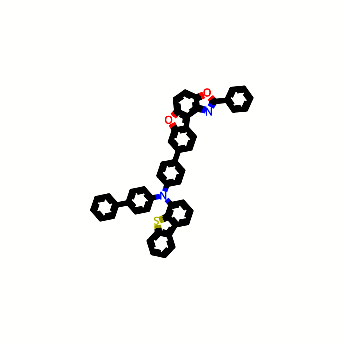 c1ccc(-c2ccc(N(c3ccc(-c4ccc5c(c4)oc4ccc6oc(-c7ccccc7)nc6c45)cc3)c3cccc4c3sc3ccccc34)cc2)cc1